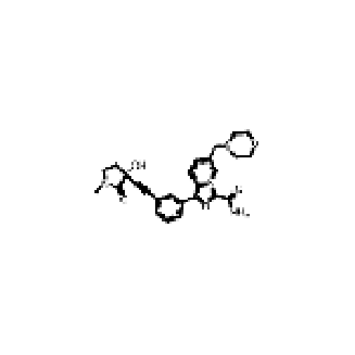 CN1CC[C@@](O)(C#Cc2cccc(-c3nc(C(N)=O)n4cc(CN5CCOCC5)ccc34)c2)C1=O